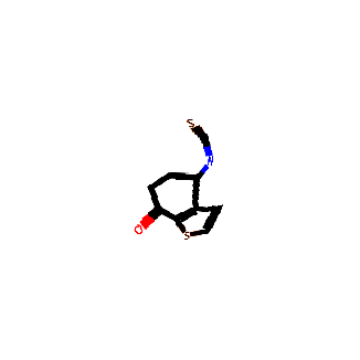 O=C1CCC(N=C=S)c2ccsc21